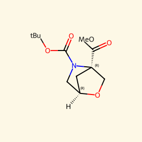 COC(=O)[C@@]12CO[C@@H](CN1C(=O)OC(C)(C)C)C2